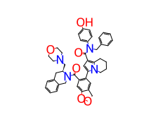 O=C(c1cc(-c2cc3c(cc2C(=O)N2Cc4ccccc4C[C@H]2CN2CCOCC2)OOC3)n2c1CCCC2)N(Cc1ccccc1)c1ccc(O)cc1